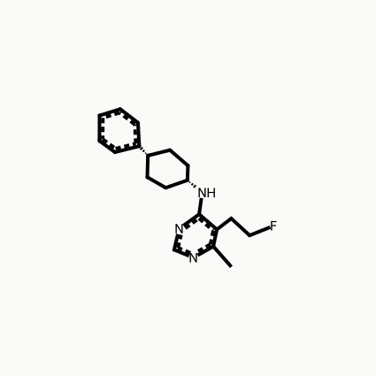 Cc1ncnc(N[C@H]2CC[C@@H](c3ccccc3)CC2)c1CCF